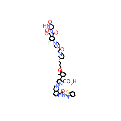 Cc1c(OCCCC[C@H]2CCCN(CC(=O)N3CCN(c4cc5c(cc4F)C(=O)N(C4CCC(=O)NC4=O)C5=O)CC3)C2)cccc1-c1ccc(N2CCc3cccc(C(=O)Nc4nc5ccccc5s4)c3C2)nc1C(=O)O